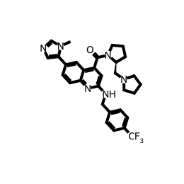 Cn1cncc1-c1ccc2nc(NCc3ccc(C(F)(F)F)cc3)cc(C(=O)N3CCC[C@H]3CN3CCCC3)c2c1